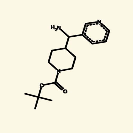 CC(C)(C)OC(=O)N1CCC(C(N)c2cccnc2)CC1